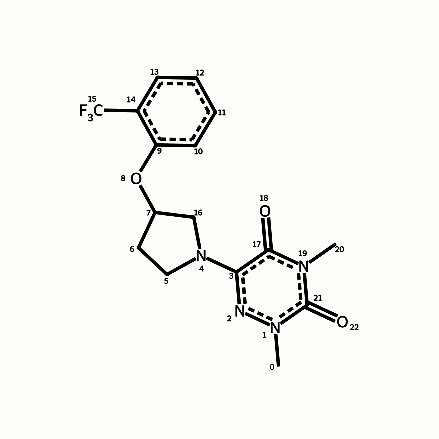 Cn1nc(N2CCC(Oc3ccccc3C(F)(F)F)C2)c(=O)n(C)c1=O